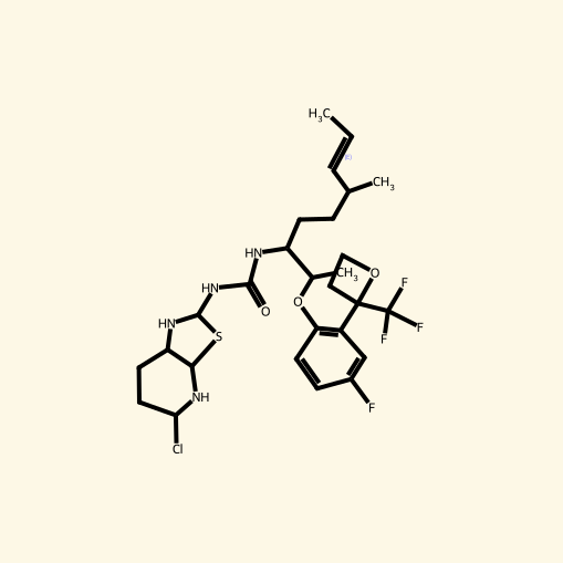 C/C=C/C(C)CCC(NC(=O)NC1NC2CCC(Cl)NC2S1)C(C)Oc1ccc(F)cc1C1(C(F)(F)F)CCO1